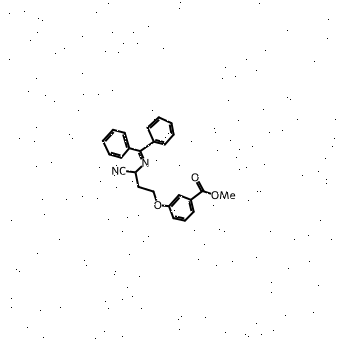 COC(=O)c1cccc(OCCC(C#N)N=C(c2ccccc2)c2ccccc2)c1